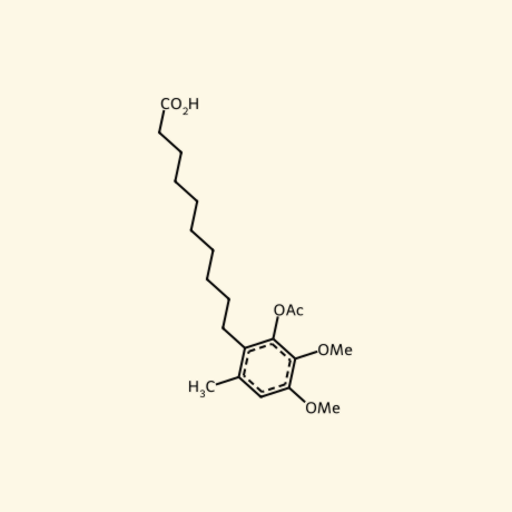 COc1cc(C)c(CCCCCCCCCC(=O)O)c(OC(C)=O)c1OC